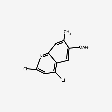 COc1cc2c(Cl)cc(Cl)nc2cc1C